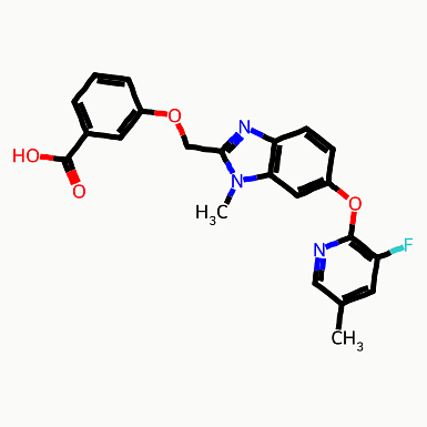 Cc1cnc(Oc2ccc3nc(COc4cccc(C(=O)O)c4)n(C)c3c2)c(F)c1